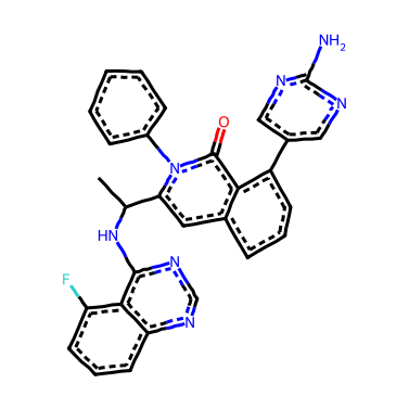 CC(Nc1ncnc2cccc(F)c12)c1cc2cccc(-c3cnc(N)nc3)c2c(=O)n1-c1ccccc1